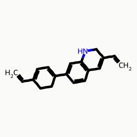 C=CC1=CC=C(c2ccc3c(c2)NCC(C=C)=C3)CC1